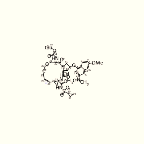 COc1ccc2c(OC3C[C@H]4C(=O)N[C@]5(C(=O)NS(=O)(=O)C6CC6)CC5/C=C\CCCOC[C@H](NC(=O)OC(C)(C)C)C(=O)N4C3)nc(N(C)C)cc2c1